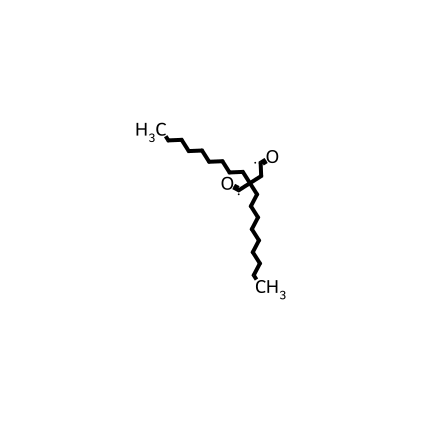 CCCCCCCCCC([C]=O)(C[C]=O)CCCCCCCCC